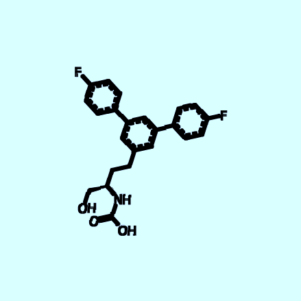 O=C(O)N[C@@H](CO)CCc1cc(-c2ccc(F)cc2)cc(-c2ccc(F)cc2)c1